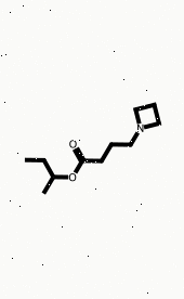 CCC(C)OC(=O)CCCN1CCC1